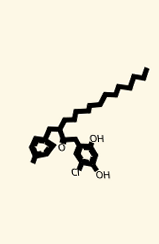 CCCCCCCCCCCCCC(Cc1ccc(C)cc1)C(=O)Cc1cc(Cl)c(O)cc1O